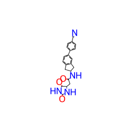 N#Cc1ccc(-c2ccc3c(c2)CC(NC(=O)CC2NC(=O)NC2=O)C3)cc1